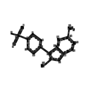 CS(=O)(=O)c1ccc(-c2c(Br)cc3cnc(N)nn23)cc1